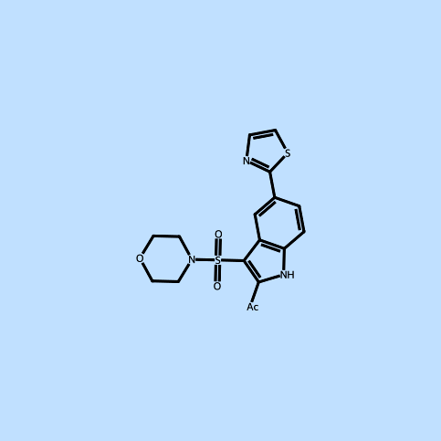 CC(=O)c1[nH]c2ccc(-c3nccs3)cc2c1S(=O)(=O)N1CCOCC1